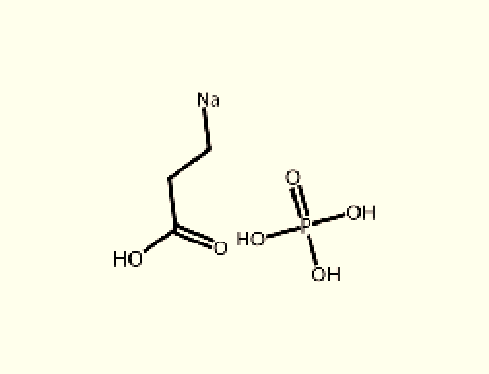 O=C(O)C[CH2][Na].O=P(O)(O)O